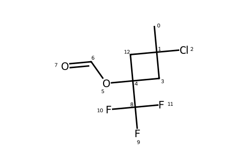 CC1(Cl)CC(OC=O)(C(F)(F)F)C1